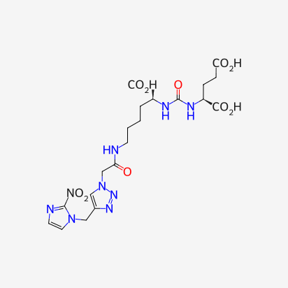 O=C(O)CC[C@H](NC(=O)N[C@@H](CCCCNC(=O)Cn1cc(Cn2ccnc2[N+](=O)[O-])nn1)C(=O)O)C(=O)O